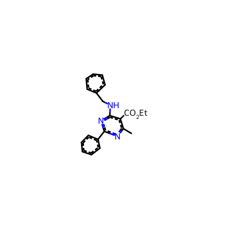 CCOC(=O)c1c(C)nc(-c2ccccc2)nc1NCc1ccccc1